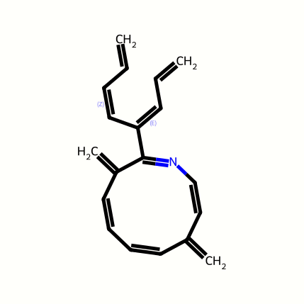 C=C/C=C\C(=C/C=C)c1nccc(=C)ccccc1=C